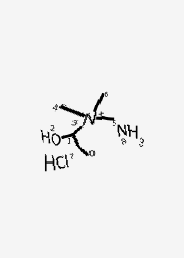 CC(O)[N+](C)(C)C.Cl.N